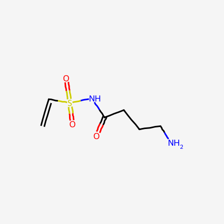 C=CS(=O)(=O)NC(=O)CCCN